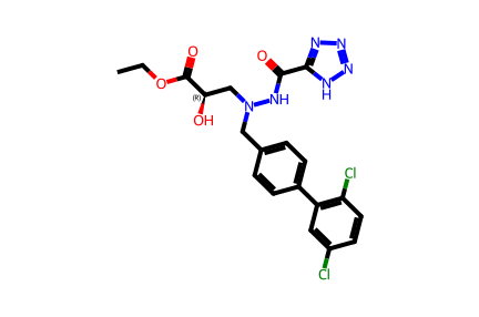 CCOC(=O)[C@H](O)CN(Cc1ccc(-c2cc(Cl)ccc2Cl)cc1)NC(=O)c1nnn[nH]1